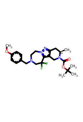 COc1ccc(CN2CCn3nc4c(c3C(F)(F)C2)CN(C(=O)OC(C)(C)C)[C@H](C)C4)cc1